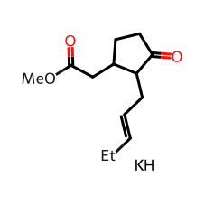 CCC=CCC1C(=O)CCC1CC(=O)OC.[KH]